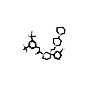 O=C(Cc1cc(C(F)(F)F)cc(C(F)(F)F)c1)N1CCC[C@](CCN2CCC(N3CCCCC3)CC2)(c2cccc(Cl)c2)C1